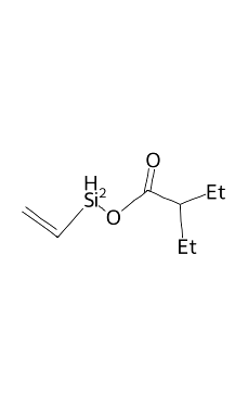 C=C[SiH2]OC(=O)C(CC)CC